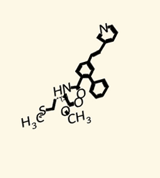 COC(=O)[C@H](CCSC)NC(=O)c1ccc(C=Cc2cccnc2)cc1-c1ccccc1